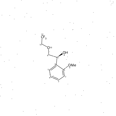 COc1ccccc1[C@H](O)COCC(F)(F)F